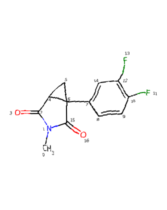 CN1C(=O)C2CC2(c2ccc(F)c(F)c2)C1=O